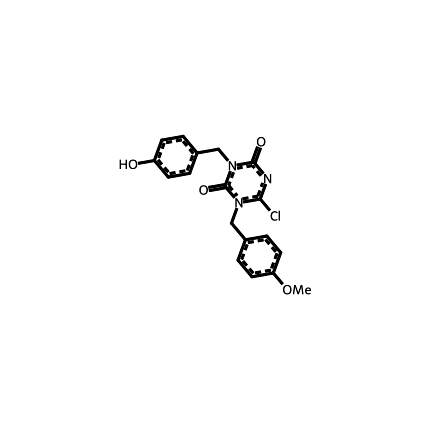 COc1ccc(Cn2c(Cl)nc(=O)n(Cc3ccc(O)cc3)c2=O)cc1